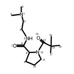 CN(C)CCNC(=O)C1CCCN1C(=O)C(C)(C)C